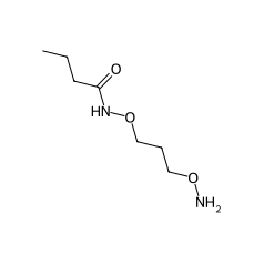 CCCC(=O)NOCCCON